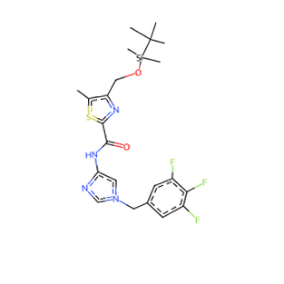 Cc1sc(C(=O)Nc2cn(Cc3cc(F)c(F)c(F)c3)cn2)nc1CO[Si](C)(C)C(C)(C)C